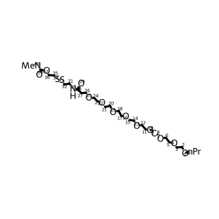 CCCOCCOCCOCCOCCOCCOCCOCCOCCOCCC(=O)NCCSSCCOC(=O)NC